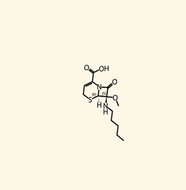 CCCCCN[C@]1(OC)C(=O)N2C(C(=O)O)=CCS[C@@H]21